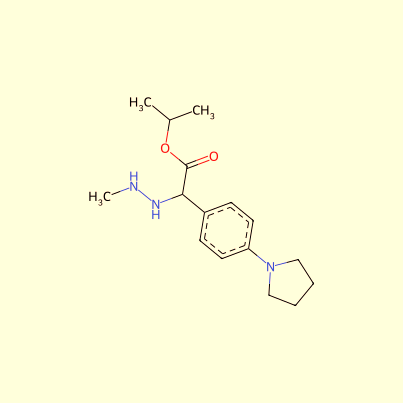 CNNC(C(=O)OC(C)C)c1ccc(N2CCCC2)cc1